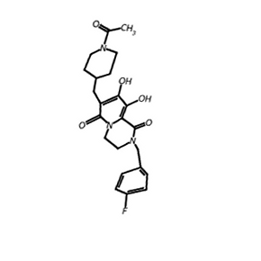 CC(=O)N1CCC(Cc2c(O)c(O)c3n(c2=O)CCN(Cc2ccc(F)cc2)C3=O)CC1